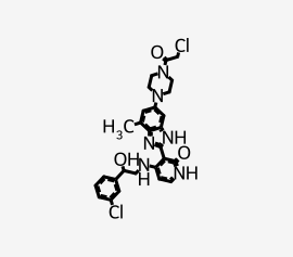 Cc1cc(N2CCN(C(=O)CCl)CC2)cc2[nH]c(-c3c(NCC(O)c4cccc(Cl)c4)cc[nH]c3=O)nc12